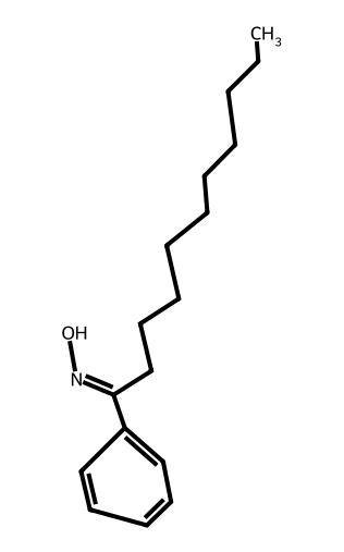 CCCCCCCCCCC(=NO)c1ccccc1